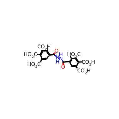 O=C(O)c1cc(C(=O)O)c(C(=O)NNC(=O)c2cc(C(=O)O)c(C(=O)O)cc2C(=O)O)cc1C(=O)O